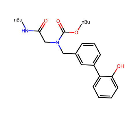 CCCCNC(=O)CN(Cc1cccc(-c2ccccc2O)c1)C(=O)OCCCC